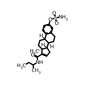 CCC(C)NC(=O)C1=CC[C@H]2[C@@H]3CCc4cc(OS(N)(=O)=O)ccc4[C@H]3CC[C@]12C